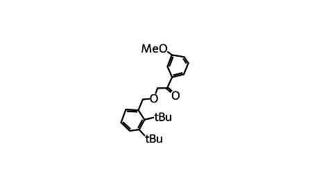 COc1cccc(C(=O)COCc2cccc(C(C)(C)C)c2C(C)(C)C)c1